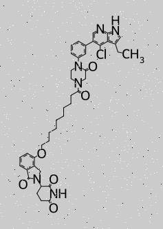 CCc1c[nH]c2ncc(-c3cccc(N4CCN(C(=O)CCCCCCCCCOc5cccc6c5CN(C5CCC(=O)NC5=O)C6=O)CC4=O)c3)c(Cl)c12